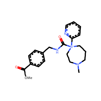 COC(=O)c1ccc(CNC(=O)[N+]2(c3ccccn3)CCCN(C)CC2)cc1